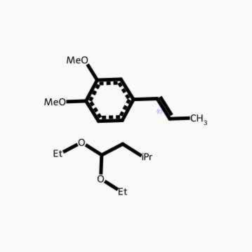 C/C=C/c1ccc(OC)c(OC)c1.CCOC(CC(C)C)OCC